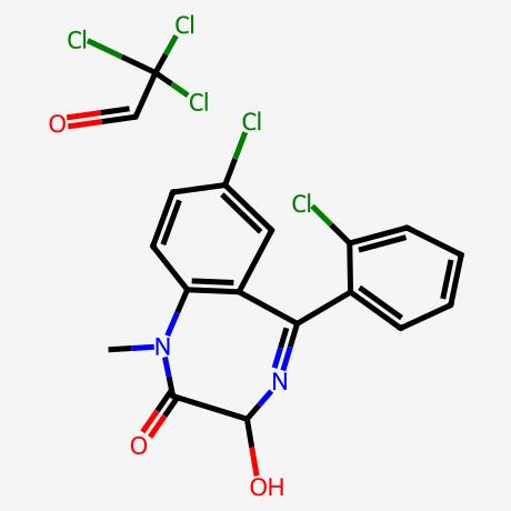 CN1C(=O)C(O)N=C(c2ccccc2Cl)c2cc(Cl)ccc21.O=CC(Cl)(Cl)Cl